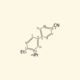 CCc1ccc(-c2ccc(C#N)cc2)cc1C(C)C